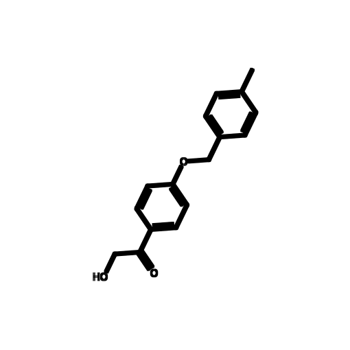 Cc1ccc(COc2ccc(C(=O)CO)cc2)cc1